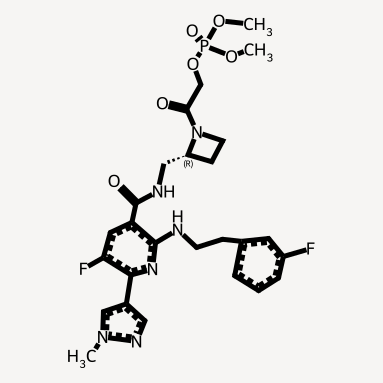 COP(=O)(OC)OCC(=O)N1CC[C@@H]1CNC(=O)c1cc(F)c(-c2cnn(C)c2)nc1NCCc1cccc(F)c1